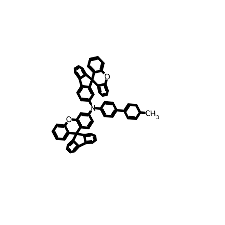 CC1C=CC(c2ccc(N(c3ccc4c(c3)Oc3ccccc3C43c4ccccc4-c4ccccc43)c3ccc4c(c3)C3(c5ccccc5Oc5ccccc53)c3ccccc3-4)cc2)=CC1